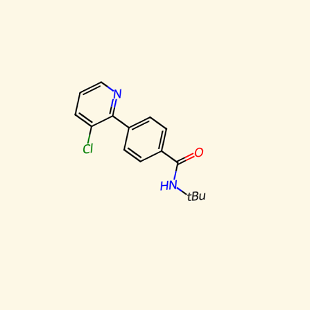 CC(C)(C)NC(=O)c1ccc(-c2ncccc2Cl)cc1